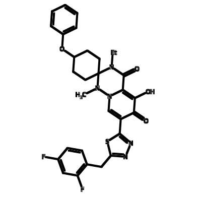 CCN1C(=O)c2c(O)c(=O)c(-c3nnc(Cc4ccc(F)cc4F)s3)cn2N(C)C12CCC(Oc1ccccc1)CC2